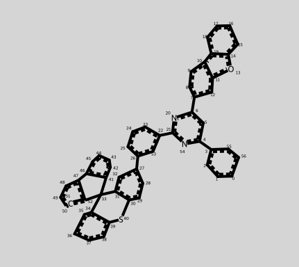 c1ccc(-c2cc(-c3ccc4c(c3)oc3ccccc34)nc(-c3cccc(-c4ccc5c(c4)C4(c6ccccc6S5)c5ccccc5-c5ccccc54)c3)n2)cc1